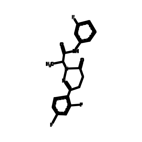 CC(C(=O)Nc1cccc(F)c1)N1N=C(c2ccc(F)cc2F)CCC1=O